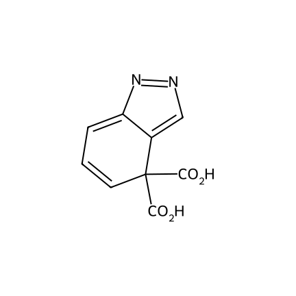 O=C(O)C1(C(=O)O)C=CC=C2N=NC=C21